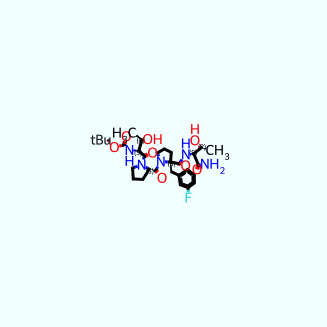 C[C@@H](O)[C@H](NC(=O)[C@@]1(Cc2cccc(F)c2)CCCN1C(=O)[C@@H]1CCCN1C(=O)[C@@H](NC(=O)OC(C)(C)C)[C@@H](C)O)C(N)=O